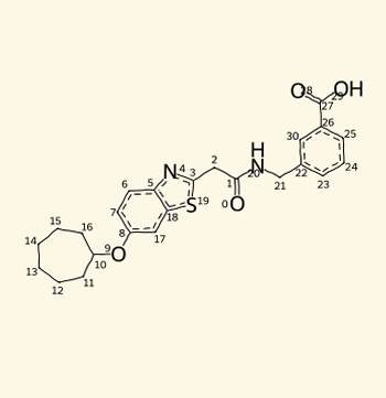 O=C(Cc1nc2ccc(OC3CCCCCC3)cc2s1)NCc1cccc(C(=O)O)c1